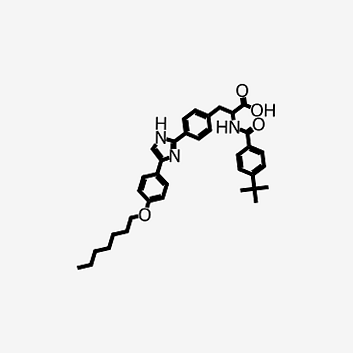 CCCCCCCOc1ccc(-c2c[nH]c(-c3ccc(CC(NC(=O)c4ccc(C(C)(C)C)cc4)C(=O)O)cc3)n2)cc1